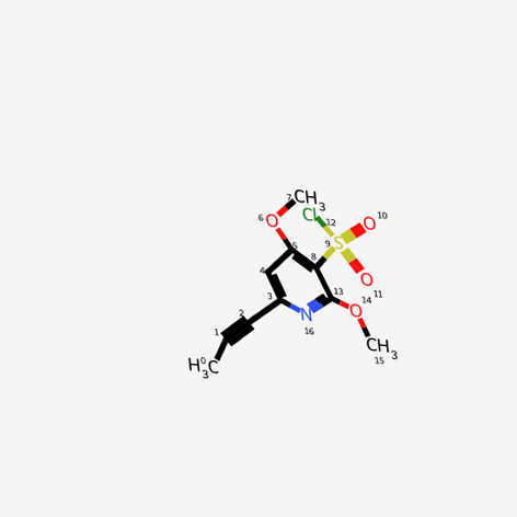 CC#Cc1cc(OC)c(S(=O)(=O)Cl)c(OC)n1